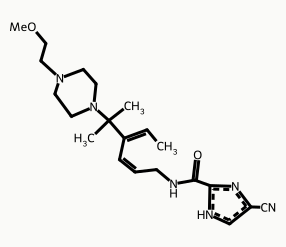 C/C=C(\C=C/CNC(=O)c1nc(C#N)c[nH]1)C(C)(C)N1CCN(CCOC)CC1